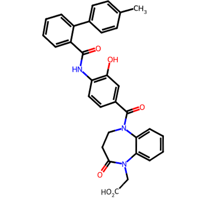 Cc1ccc(-c2ccccc2C(=O)Nc2ccc(C(=O)N3CCC(=O)N(CC(=O)O)c4ccccc43)cc2O)cc1